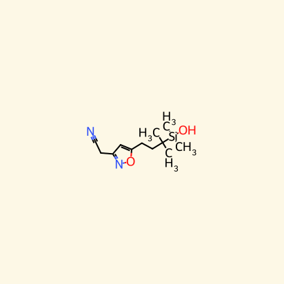 CC(C)(CCc1cc(CC#N)no1)[Si](C)(C)O